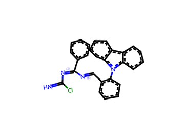 N=C(Cl)/N=C(\N=C\c1ccccc1-n1c2ccccc2c2ccccc21)c1ccccc1